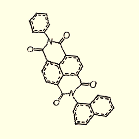 O=C1c2ccc3c4c(ccc(c24)C(=O)N1c1ccccc1)C(=O)N(c1cccc2ccccc12)C3=O